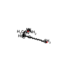 C[C@H](Cn1cnc2c(N)ncnc21)OCP(=O)(O)OCCCOCCCCCCCCCCCCC[Si]1(C)CCC1